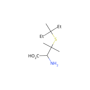 CCC(C)(CC)SC(C)(C)C(N)C(=O)O